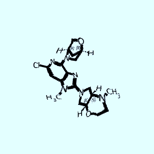 CN1CCO[C@@H]2CN(c3nc4c(N5C[C@H]6C[C@@H]5CO6)nc(Cl)cc4n3C)C[C@@H]21